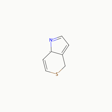 C1=C[C]2N=CC=C2CS1